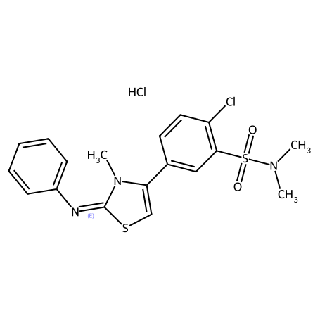 CN(C)S(=O)(=O)c1cc(-c2cs/c(=N/c3ccccc3)n2C)ccc1Cl.Cl